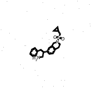 NCC(Cc1ccccc1)c1ccc2c(c1)CN(S(=O)(=O)CC1CC1)CC2